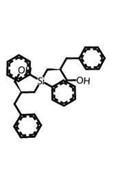 OC[C@H](Cc1ccccc1)C[Si](C[C@H](CO)Cc1ccccc1)(c1ccccc1)c1ccccc1